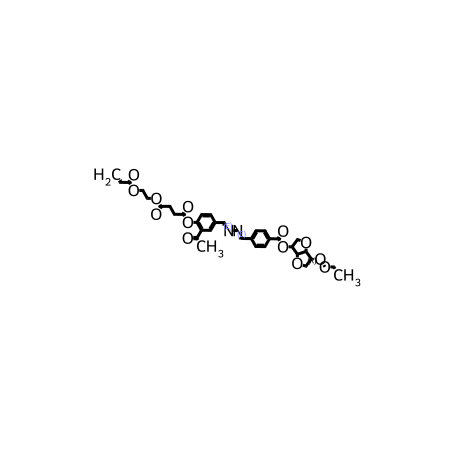 C=CC(=O)OCCOC(=O)CCC(=O)Oc1ccc(/C=N/N=C/c2ccc(C(=O)OC3COC4C3OC[C@H]4OOCC)cc2)cc1C(C)=O